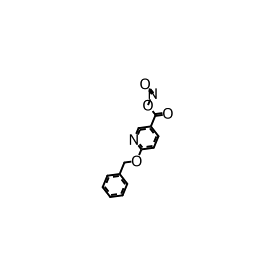 O=NOC(=O)c1ccc(OCc2ccccc2)nc1